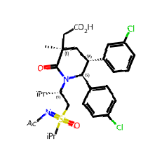 CC(=O)N=S(=O)(C[C@H](C(C)C)N1C(=O)[C@@](C)(CC(=O)O)C[C@H](c2cccc(Cl)c2)[C@H]1c1ccc(Cl)cc1)C(C)C